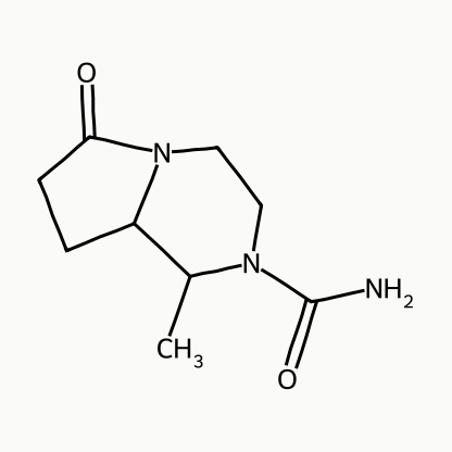 CC1C2CCC(=O)N2CCN1C(N)=O